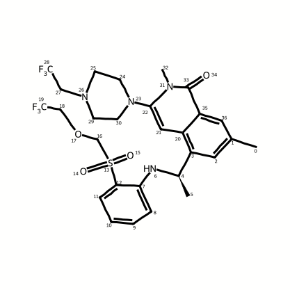 Cc1cc([C@@H](C)Nc2ccccc2S(=O)(=O)COCC(F)(F)F)c2cc(N3CCN(CC(F)(F)F)CC3)n(C)c(=O)c2c1